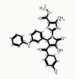 COC(=O)c1sc(N2C(=O)C(O)=C(C(=O)C3C=CC(Cl)=CC3)C2c2cccc(Oc3ccccc3)c2)nc1C